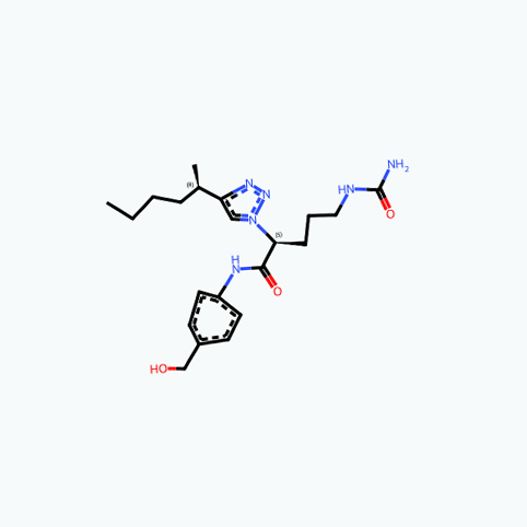 CCCC[C@@H](C)c1cn([C@@H](CCCNC(N)=O)C(=O)Nc2ccc(CO)cc2)nn1